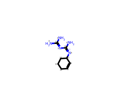 NC(N)=N/C(N)=N\C1C=CCCC1